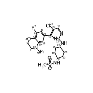 CC(C)N1CCOc2c(F)cc(-c3nc(N[C@H]4CC[C@@H](NS(C)(=O)=O)CC4)ncc3Cl)cc21